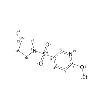 CCOc1ccc(S(=O)(=O)N2CC[C@H](C)C2)cn1